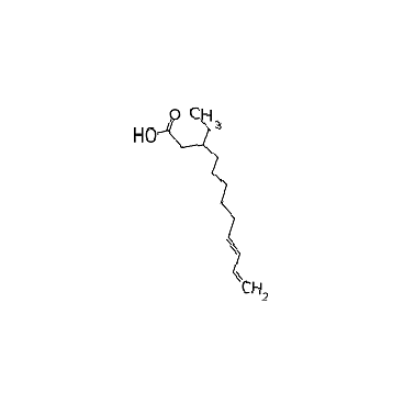 C=CC=CCCCCCC(CC)CC(=O)O